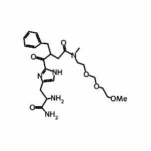 COCCOCOCCN(C)C(=O)CC(Cc1ccccc1)C(=O)c1nc(CC(N)C(N)=O)c[nH]1